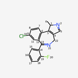 CC1N=CC2=C1c1ccc(Cl)cc1C(c1ccccc1F)=NC2